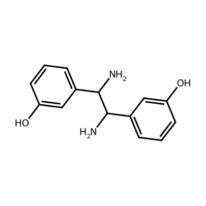 NC(c1cccc(O)c1)C(N)c1cccc(O)c1